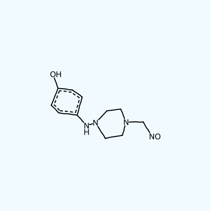 O=NCN1CCN(Nc2ccc(O)cc2)CC1